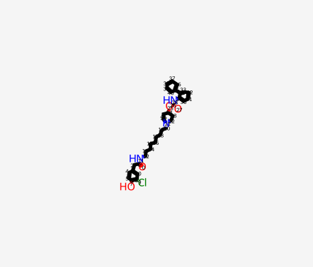 O=C(Cc1ccc(O)c(Cl)c1)NCCCCCCCCCN1CCC(OC(=O)Nc2ccccc2-c2ccccc2)CC1